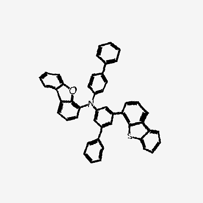 c1ccc(-c2ccc(N(c3cc(-c4ccccc4)cc(-c4cccc5c4sc4ccccc45)c3)c3cccc4c3oc3ccccc34)cc2)cc1